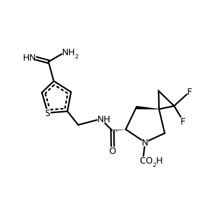 N=C(N)c1csc(CNC(=O)[C@@H]2C[C@@]3(CN2C(=O)O)CC3(F)F)c1